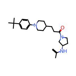 C=C(C)N[C@@H]1CCN(C(=O)CCC2CCN(c3ccc(C(C)(C)C)cc3)CC2)C1